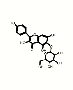 O=c1c(O)c(-c2ccc(O)cc2)oc2cc(O)c(O[C@@H]3O[C@H](CO)[C@@H](O)[C@H](O)[C@@H]3O)c(O)c12